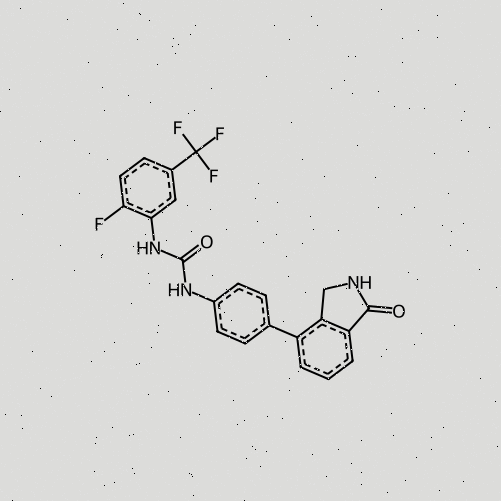 O=C(Nc1ccc(-c2cccc3c2CNC3=O)cc1)Nc1cc(C(F)(F)F)ccc1F